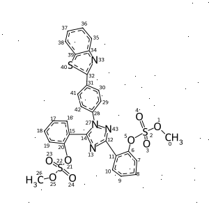 COS(=O)(=O)Oc1ccccc1-c1nc(-c2ccccc2OS(=O)(=O)OC)n(-c2ccc(-c3nc4ccccc4s3)cc2)n1